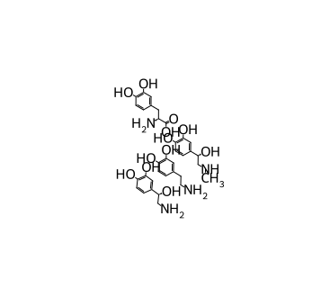 CNC[C@H](O)c1ccc(O)c(O)c1.NCCc1ccc(O)c(O)c1.NC[C@H](O)c1ccc(O)c(O)c1.N[C@@H](Cc1ccc(O)c(O)c1)C(=O)O